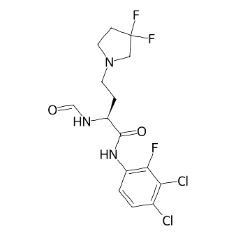 O=CN[C@@H](CCN1CCC(F)(F)C1)C(=O)Nc1ccc(Cl)c(Cl)c1F